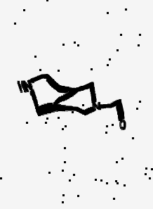 O=CN1Cc2c[nH]cc2C1